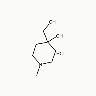 CN1CCC(O)(CO)CC1.Cl